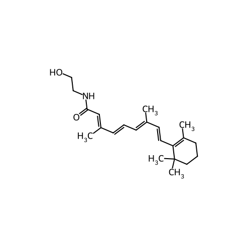 CC(C=CC1=C(C)CCCC1(C)C)=CC=CC(C)=CC(=O)NCCO